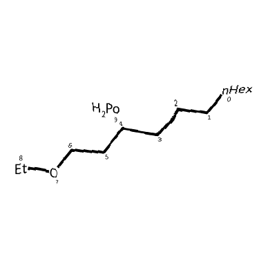 CCCCCCCCCCCCOCC.[PoH2]